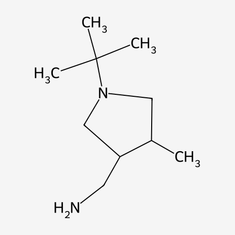 CC1CN(C(C)(C)C)CC1CN